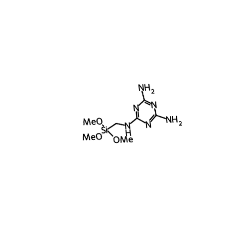 CO[Si](CNc1nc(N)nc(N)n1)(OC)OC